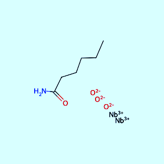 CCCCCC(N)=O.[Nb+3].[Nb+3].[O-2].[O-2].[O-2]